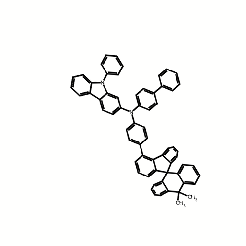 CC1(C)c2ccccc2C2(c3ccccc3-c3c(-c4ccc(N(c5ccc(-c6ccccc6)cc5)c5ccc6c7ccccc7n(-c7ccccc7)c6c5)cc4)cccc32)c2ccccc21